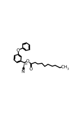 CCCCCCCCCC(=O)O[C@@H](C#N)c1cccc(Oc2ccccc2)c1